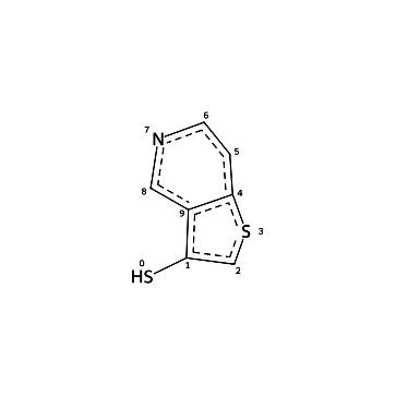 Sc1csc2ccncc12